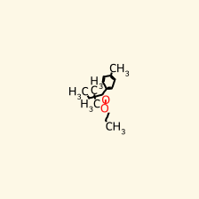 CCCOOC(c1ccc(C)cc1)C(C)(C)CC